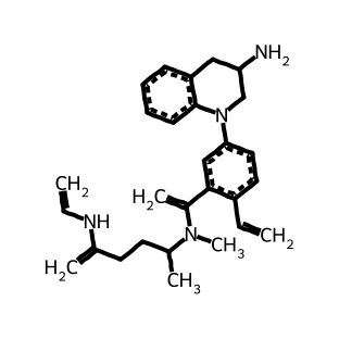 C=CNC(=C)CCC(C)N(C)C(=C)c1cc(N2CC(N)Cc3ccccc32)ccc1C=C